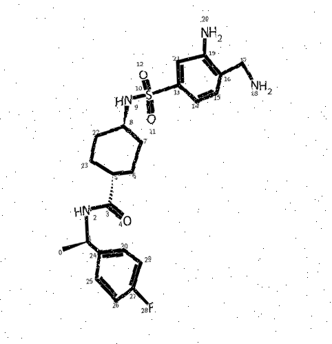 C[C@@H](NC(=O)[C@H]1CC[C@H](NS(=O)(=O)c2ccc(CN)c(N)c2)CC1)c1ccc(F)cc1